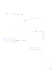 CCC(C)(C)c1ccc(C#N)cc1C#N